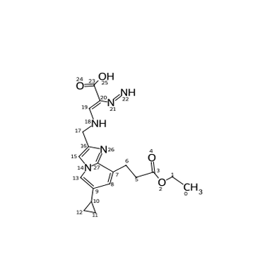 CCOC(=O)CCc1cc(C2CC2)cn2cc(CN/C=C(\N=N)C(=O)O)nc12